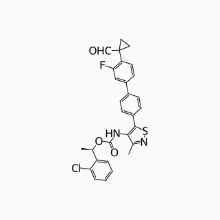 Cc1nsc(-c2ccc(-c3ccc(C4(C=O)CC4)c(F)c3)cc2)c1NC(=O)O[C@H](C)c1ccccc1Cl